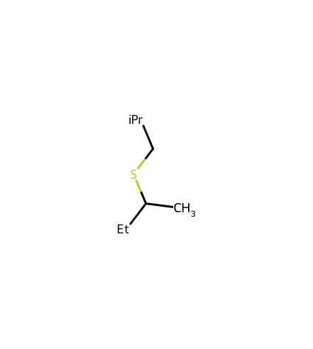 [CH2]C(C)CSC(C)CC